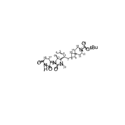 C=c1/c(=C(\C=C/C)CC2CC3(CCN(C(=O)OC(C)(C)C)CC3)C2)n(C)c(=O)n1C1CCC(=O)NC1=O